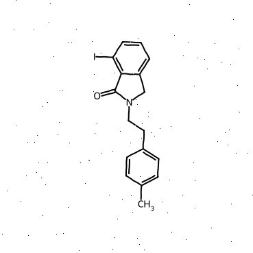 Cc1ccc(CCN2Cc3cccc(I)c3C2=O)cc1